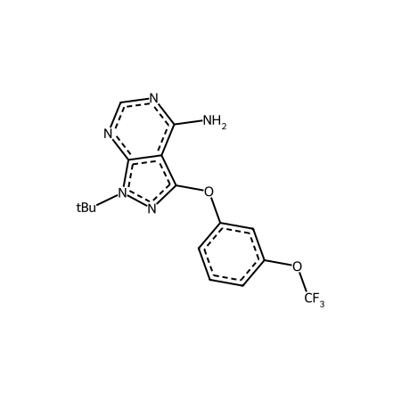 CC(C)(C)n1nc(Oc2cccc(OC(F)(F)F)c2)c2c(N)ncnc21